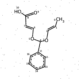 CC=COC(OC=CC(=O)O)c1ccccc1